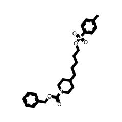 Cc1ccc(S(=O)(=O)OCCCCCC2CCN(C(=O)OCc3ccccc3)CC2)cc1